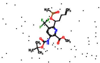 C=CCCC(OS(C)=O)c1nc(C(=O)OC)c(NC(=O)OC(C)(C)C)cc1C(F)(F)F